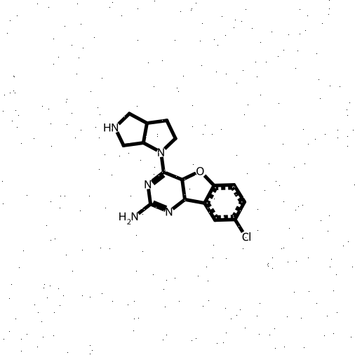 NC1=NC2c3cc(Cl)ccc3OC2C(N2CCC3CNCC32)=N1